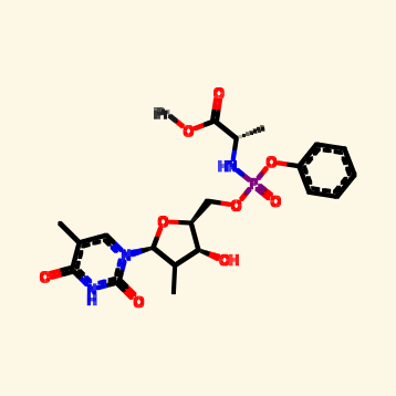 Cc1cn([C@H]2O[C@@H](COP(=O)(N[C@@H](C)C(=O)OC(C)C)Oc3ccccc3)[C@@H](O)C2C)c(=O)[nH]c1=O